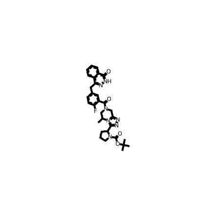 CC1CN(C(=O)c2cc(Cc3n[nH]c(=O)c4ccccc34)ccc2F)Cc2nnc(C3CCCN3C(=O)OC(C)(C)C)n21